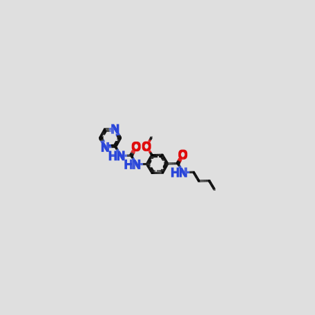 CCCCNC(=O)c1ccc(NC(=O)Nc2cnccn2)c(OC)c1